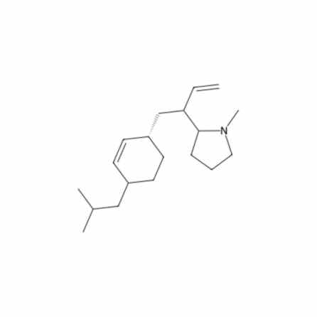 C=CC(C[C@H]1C=CC(CC(C)C)CC1)C1CCCN1C